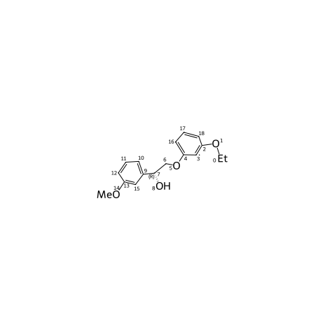 CCOc1[c]c(OC[C@H](O)c2cccc(OC)c2)ccc1